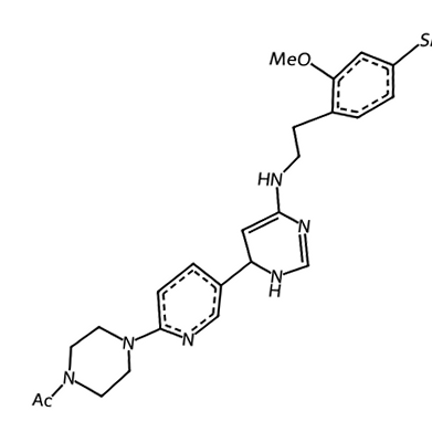 COc1cc(SC)ccc1CCNC1=CC(c2ccc(N3CCN(C(C)=O)CC3)nc2)NC=N1